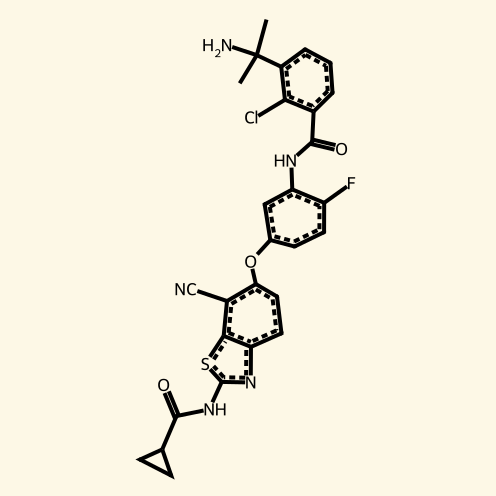 CC(C)(N)c1cccc(C(=O)Nc2cc(Oc3ccc4nc(NC(=O)C5CC5)sc4c3C#N)ccc2F)c1Cl